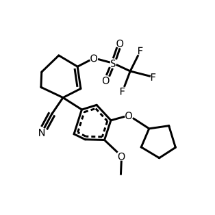 COc1ccc(C2(C#N)C=C(OS(=O)(=O)C(F)(F)F)CCC2)cc1OC1CCCC1